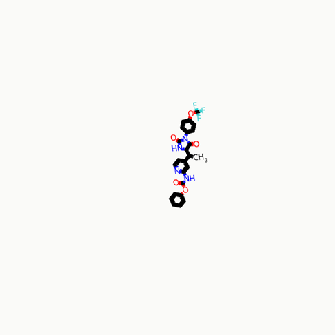 CC(c1ccnc(NC(=O)Oc2ccccc2)c1)C1NC(=O)N(c2ccc(OC(F)(F)F)cc2)C1=O